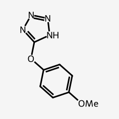 COc1ccc(Oc2nnn[nH]2)cc1